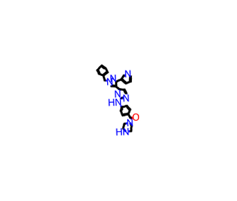 O=C(c1ccc(Nc2nccc(-c3cn(Cc4ccccc4)nc3-c3cccnc3)n2)cc1)N1CCNCC1